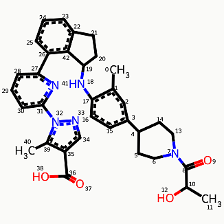 Cc1cc(C2CCN(C(=O)C(C)O)CC2)ccc1NC1CCc2cccc(-c3cccc(-n4ncc(C(=O)O)c4C)n3)c21